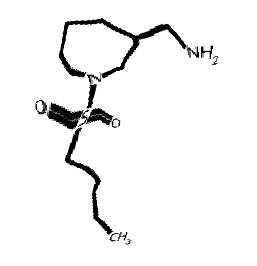 CCCCS(=O)(=O)N1CCCC(CN)C1